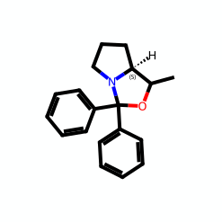 CC1OC(c2ccccc2)(c2ccccc2)N2CCC[C@@H]12